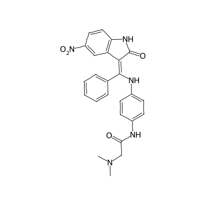 CN(C)CC(=O)Nc1ccc(N/C(=C2\C(=O)Nc3ccc([N+](=O)[O-])cc32)c2ccccc2)cc1